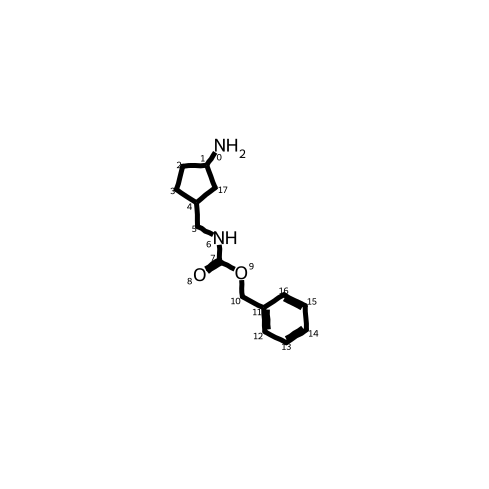 NC1CCC(CNC(=O)OCc2ccccc2)C1